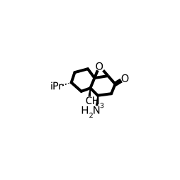 CC(C)[C@@H]1CCC23OC2C(=O)C[C@@H](N)[C@]3(C)C1